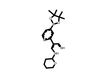 CC1(C)OB(c2ccnc(/C(C=N)=C/NC3CCCCO3)c2)OC1(C)C